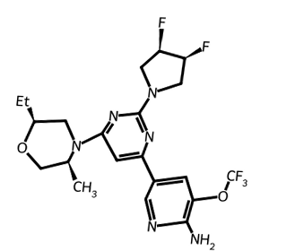 CC[C@H]1CN(c2cc(-c3cnc(N)c(OC(F)(F)F)c3)nc(N3C[C@@H](F)[C@@H](F)C3)n2)[C@@H](C)CO1